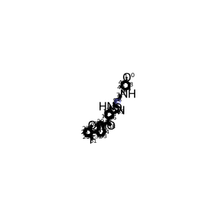 CO[C@H]1CC[C@H](NC/C=C/C(=O)Nc2ccc(C(=O)c3ccc4c(-c5c(O)cccc5F)cccn34)cc2C#N)CC1